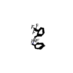 Fc1ccccc1/[C]=N\OCc1ccccc1C(F)(F)F